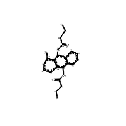 CCCC(=O)Oc1c2ccccc2c(OC(=O)CCC)c2c(C)cccc12